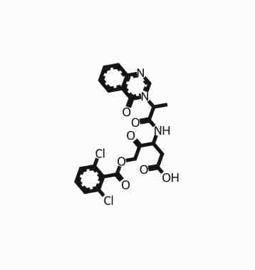 CC(C(=O)NC(CC(=O)O)C(=O)COC(=O)c1c(Cl)cccc1Cl)n1cnc2ccccc2c1=O